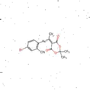 C[C]([Au][c]1ccc(Br)cc1C#N)=C1C(=O)OC(C)(C)OC1=O